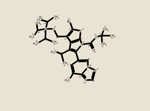 Cc1cc(-c2c(C(C)C)c3c(CO[Si](C(C)C)(C(C)C)C(C)C)c(Br)sc3n2C(=O)OC(C)(C)C)cn2ncnc12